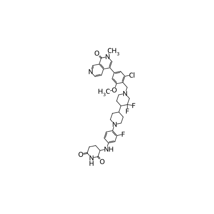 COc1cc(-c2cn(C)c(=O)c3cnccc23)cc(Cl)c1CN1CCC(C2CCN(c3ccc(NC4CCC(=O)NC4=O)cc3F)CC2)C(F)(F)C1